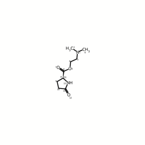 CN(C)CCOC(=O)[C@@H]1CCC(=O)N1